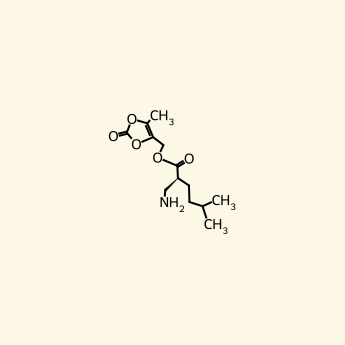 Cc1oc(=O)oc1COC(=O)[C@H](CN)CCC(C)C